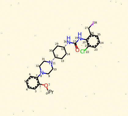 CC(C)Oc1ccccc1N1CCN([C@H]2CC[C@@H](NC(=O)Nc3c(Cl)cccc3CI)CC2)CC1